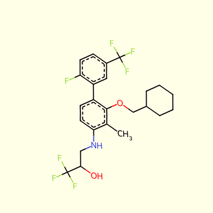 Cc1c(NCC(O)C(F)(F)F)ccc(-c2cc(C(F)(F)F)ccc2F)c1OCC1CCCCC1